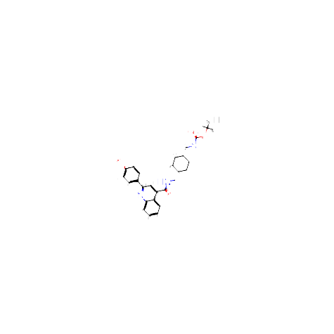 CC(C)(C)OC(=O)NC[C@H]1CC[C@H](CNC(=O)c2cc(-c3ccc(O)cc3)nc3ccccc23)CC1